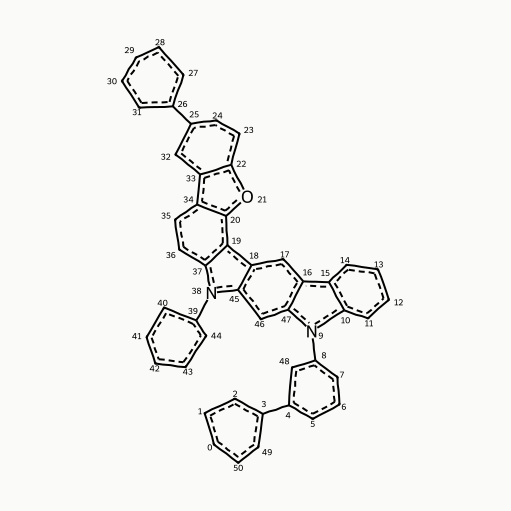 c1ccc(-c2cccc(-n3c4ccccc4c4cc5c6c7oc8ccc(-c9ccccc9)cc8c7ccc6n(-c6ccccc6)c5cc43)c2)cc1